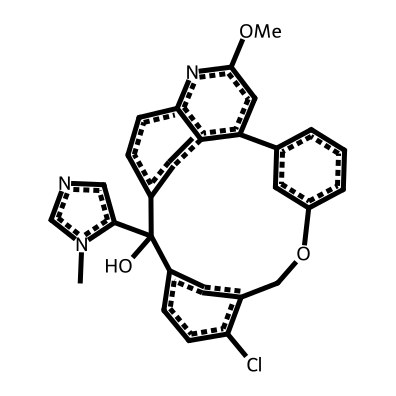 COc1cc2c3cc(ccc3n1)C(O)(c1cncn1C)c1ccc(Cl)c(c1)COc1cccc-2c1